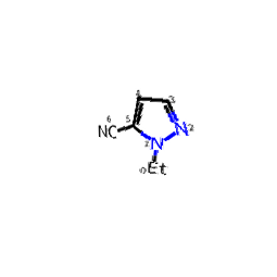 CCn1nccc1C#N